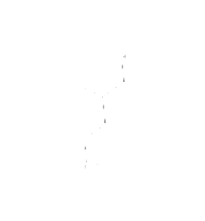 CCCCCC(F)CBr